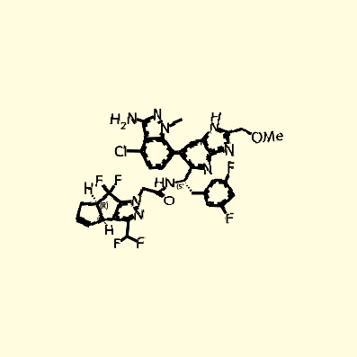 COCc1nc2nc([C@H](Cc3cc(F)cc(F)c3)NC(=O)Cn3nc(C(F)F)c4c3C(F)(F)[C@@H]3CC#C[C@H]43)c(-c3ccc(Cl)c4c(N)nn(C)c34)cc2[nH]1